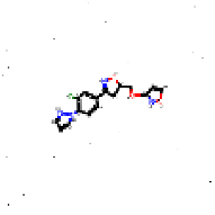 Fc1cc(C2=NOC(COc3ccon3)C2)ccc1-n1cccn1